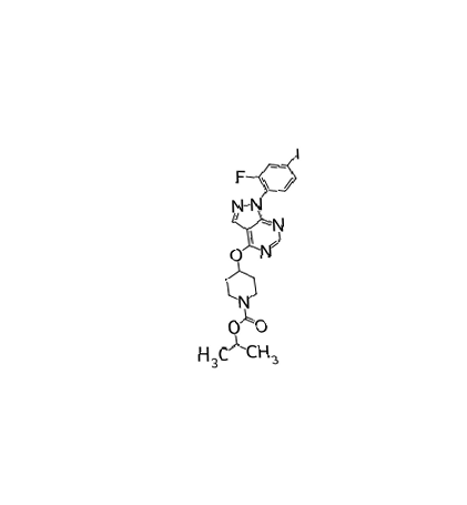 CC(C)OC(=O)N1CCC(Oc2ncnc3c2cnn3-c2ccc(I)cc2F)CC1